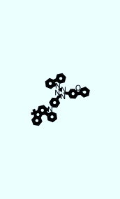 CC1(C)c2ccccc2-c2c1ccc1c2c2ccccc2n1-c1ccc(-c2nc(-c3ccc4c(c3)oc3ccccc34)nc(-n3c4ccccc4c4ccccc43)n2)cc1